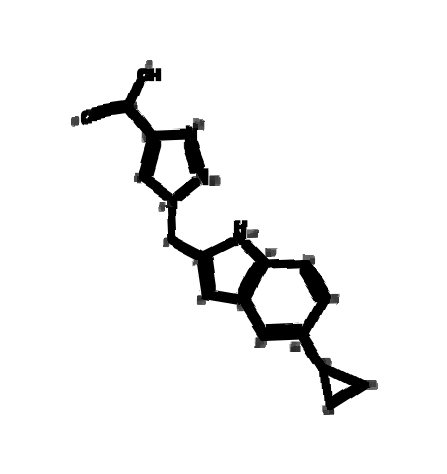 O=C(O)c1cn(Cc2cc3cc(C4CC4)ccc3[nH]2)nn1